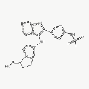 CS(=O)(=O)Nc1ccc(-c2nc3cnccn3c2Nc2ccc3c(c2)CC/C3=N\O)cc1